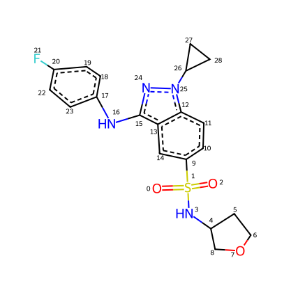 O=S(=O)(NC1CCOC1)c1ccc2c(c1)c(Nc1ccc(F)cc1)nn2C1CC1